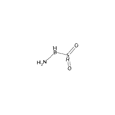 NB[SH](=O)=O